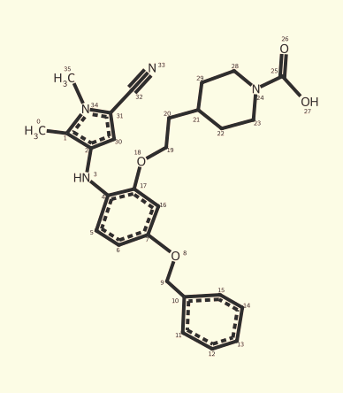 Cc1c(Nc2ccc(OCc3ccccc3)cc2OCCC2CCN(C(=O)O)CC2)cc(C#N)n1C